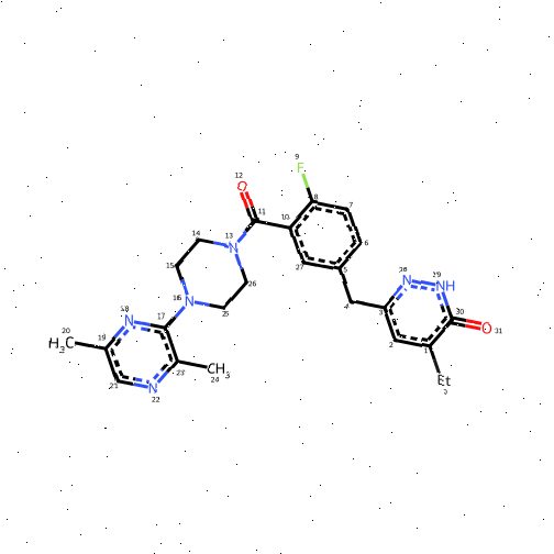 CCc1cc(Cc2ccc(F)c(C(=O)N3CCN(c4nc(C)cnc4C)CC3)c2)n[nH]c1=O